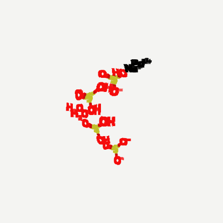 O.O.O=S(O)O.O=S(O)O.O=S([O-])O.O=S([O-])[O-].[Na+].[Pd+2]